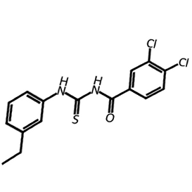 CCc1cccc(NC(=S)NC(=O)c2ccc(Cl)c(Cl)c2)c1